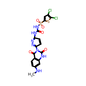 CNc1ccc2c(=O)n(-c3ccc(NC(=O)NS(=O)(=O)c4cc(Cl)c(Cl)s4)nn3)c(=O)[nH]c2c1